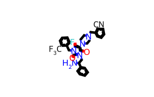 Cc1c(N2CCN(Cc3ccccc3C#N)CC2)c(=O)n(CC(N)c2ccccc2)c(=O)n1Cc1c(F)cccc1C(F)(F)F